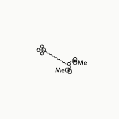 COC(=O)C(C)(C)Cc1cc(CCCCCCCCCCCCCCCCCOC(c2ccccc2)(c2ccccc2)c2ccccc2)cc(CC(C)(C)C(=O)OC)c1